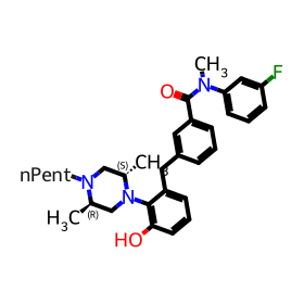 CCCCCN1C[C@H](C)N(c2c(O)cccc2Cc2cccc(C(=O)N(C)c3cccc(F)c3)c2)C[C@H]1C